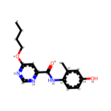 CCCCOc1cc(C(=O)Nc2ccc(O)cc2C)ncn1